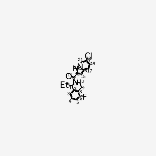 CCC1c2cccc(F)c2CCN1C(=O)c1cc2ccc(Cl)cn2n1